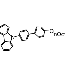 CCCCCCCCOc1ccc(-c2ccc(-n3c4ccccc4c4ccccc43)cc2)cc1